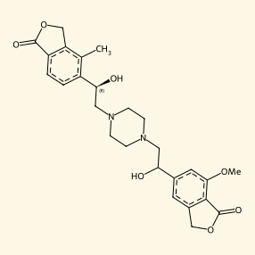 COc1cc(C(O)CN2CCN(C[C@H](O)c3ccc4c(c3C)COC4=O)CC2)cc2c1C(=O)OC2